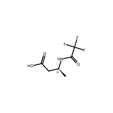 C[C@@H](CC(=O)O)NC(=O)C(F)(F)F